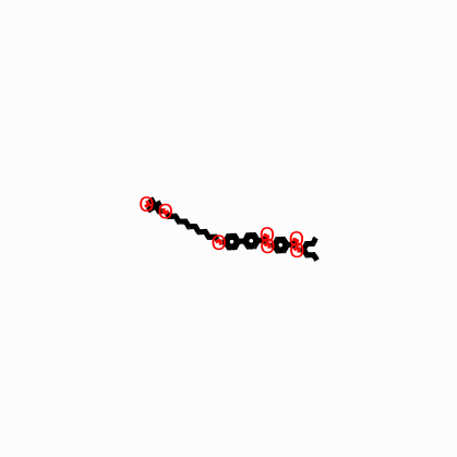 CCCC(CCC)OC(=O)c1ccc(OC(=O)c2ccc(-c3ccc(OCCCCCCCCCCOCC4(C)COC4)cc3)cc2)cc1